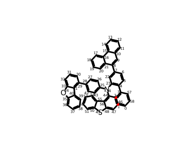 c1ccc(-c2ccc(-c3cc4ccccc4c4ccccc34)cc2N(c2ccc(-c3cccc4oc5ccccc5c34)cc2)c2cccc3sc4ccccc4c23)cc1